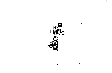 O=C(CP(=O)(O)O)N(CC1CC1)CC1CCC(N2CNc3c(NC4CCCC4)nc(Cl)nc32)O1